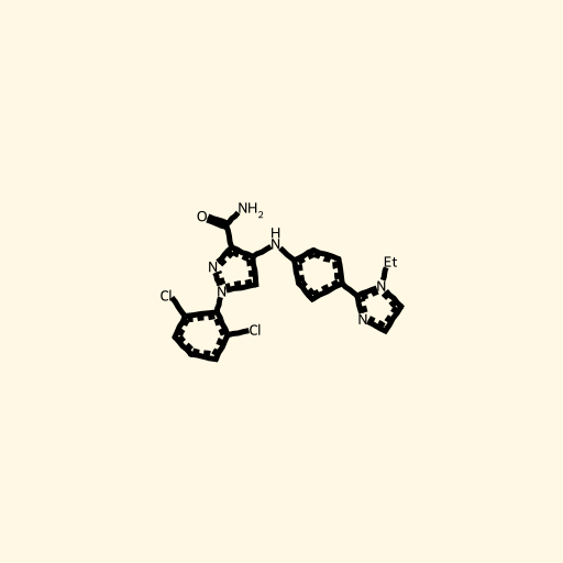 CCn1ccnc1-c1ccc(Nc2cn(-c3c(Cl)cccc3Cl)nc2C(N)=O)cc1